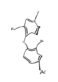 CC(=O)c1ccc(Oc2ccc(F)cc2F)c(Br)c1